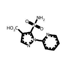 NS(=O)(=O)c1c(C(=O)O)cnn1-c1ccccn1